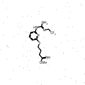 COC(=N)CCCSc1cccc(NC(N)=NCC(F)(F)F)n1